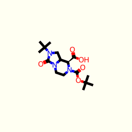 CC(C)(C)OC(=O)N1CCN2C(=O)N(C(C)(C)C)CC2[C@H]1C(=O)O